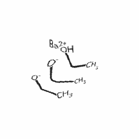 CCO.CC[O-].CC[O-].[Ba+2]